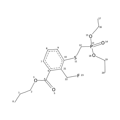 CCCOC(=O)c1cccc(SCP(=O)(OCC)OCC)c1CF